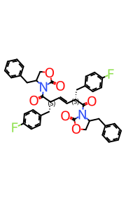 O=C1OCC(Cc2ccccc2)N1C(=O)[C@H](C=C[C@H](Cc1ccc(F)cc1)C(=O)N1C(=O)OCC1Cc1ccccc1)Cc1ccc(F)cc1